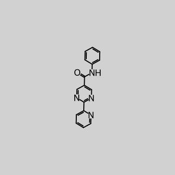 O=C(Nc1ccccc1)c1cnc(-c2ccccn2)nc1